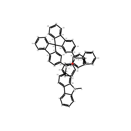 Cn1c2ccccc2c2ccc(N(c3ccccc3)c3ccc4c(c3)C3(c5ccccc5-c5ccc(N(c6ccccc6)c6ccccc6)cc53)c3ccccc3-4)cc21